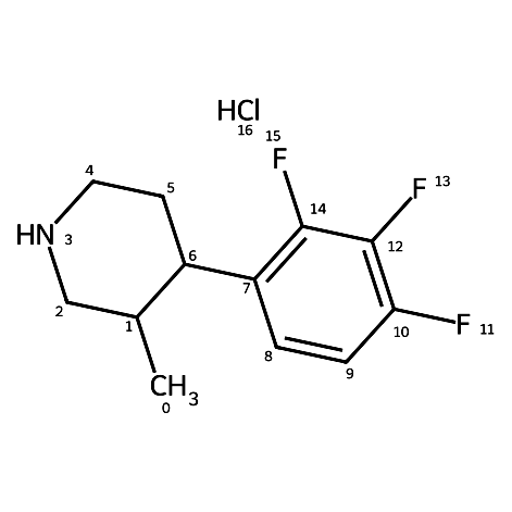 CC1CNCCC1c1ccc(F)c(F)c1F.Cl